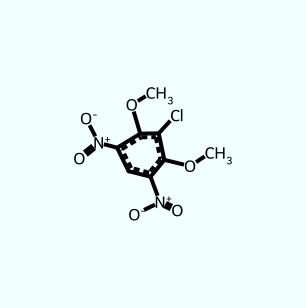 COc1c([N+](=O)[O-])cc([N+](=O)[O-])c(OC)c1Cl